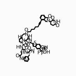 CN(C)C(=O)[C@H](Cc1ccccc1)NC(=O)[C@H](CCC(N)=O)NC(=O)[C@@H]1CC[C@@H]2CCN(C(=O)CCCCCC#Cc3cccc4c3CN(C3CCC(=O)NC3=O)C4=O)C[C@H](NC(=O)c3cc4cc(C(F)(F)P(=O)(O)O)ccc4s3)C(=O)N21